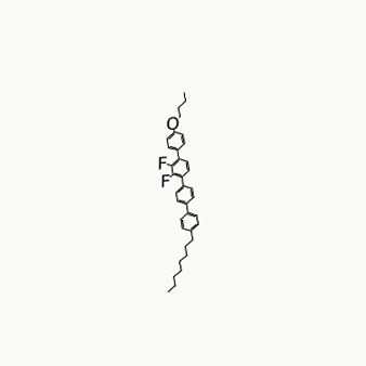 CCCCCCCCc1ccc(-c2ccc(-c3ccc(-c4ccc(OCCCC)cc4)c(F)c3F)cc2)cc1